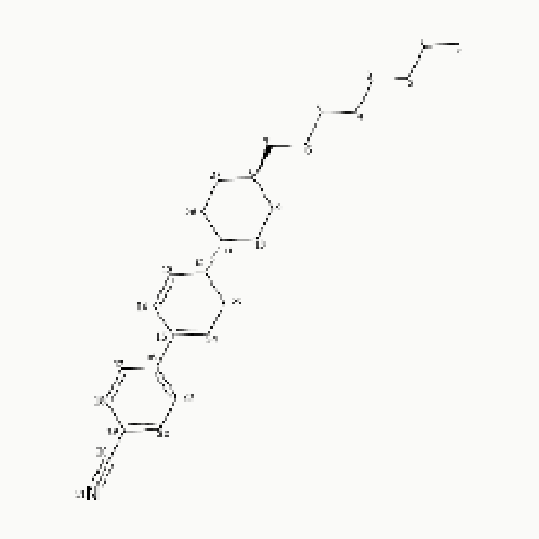 CCCCCCCC[C@H]1CC[C@H](C2C=CC(c3ccc(C#N)cc3)=CC2)CC1